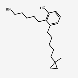 CC(C)(C)CCCCCc1c(O)cccc1CCCCCC1(C)CC1